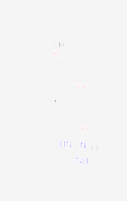 COc1cccc(C(=O)CCC[C@@H]2CCC[C@H](C[C@@]3(CCC4CCCCC4)NC(=N)N(C)C3=O)C2)c1